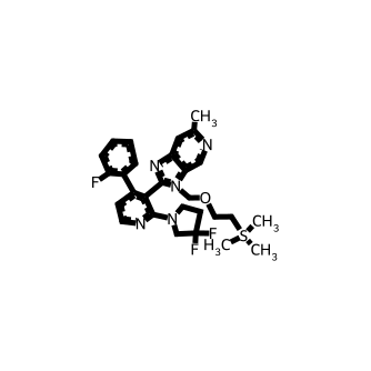 Cc1cc2nc(-c3c(-c4ccccc4F)ccnc3N3CCC(F)(F)C3)n(COCCS(C)(C)C)c2cn1